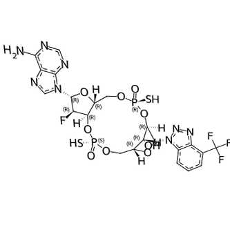 Nc1ncnc2c1ncn2[C@@H]1O[C@@H]2CO[P@@](=O)(S)O[C@@H]3[C@H](O)[C@@H](CO[P@](=O)(S)O[C@H]2[C@H]1F)O[C@H]3n1nnc2c(C(F)(F)F)cccc21